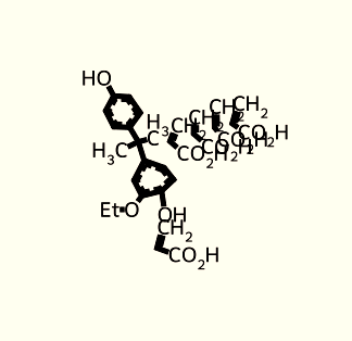 C=CC(=O)O.C=CC(=O)O.C=CC(=O)O.C=CC(=O)O.C=CC(=O)O.CCOc1cc(C(C)(C)c2ccc(O)cc2)ccc1O